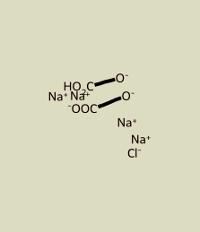 O=C([O-])O.O=C([O-])[O-].[Cl-].[Na+].[Na+].[Na+].[Na+]